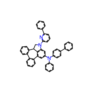 c1ccc(-c2ccc(N(c3ccccc3)c3cc4c5c(c3)N(c3cccc(-c6ccccc6)n3)CC5c3ccccc3-c3ccccc3-4)cc2)cc1